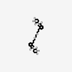 O=C1CC[C@H](N2Cc3c(CCCOCCOCCCc4cccc5c4CN([C@H]4CCC(=O)NC4=O)C5=O)cccc3C2=O)C(=O)N1